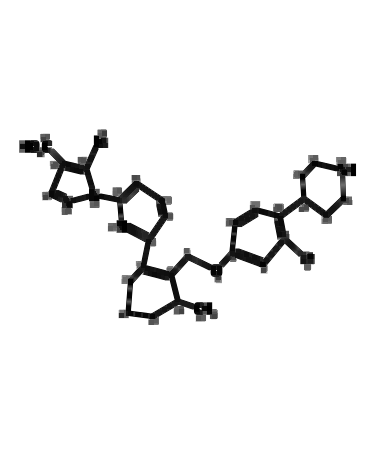 CCc1cc(OCC2=C(c3cccc(-n4ncc(C(=O)O)c4CC)n3)CCCC2C)ccc1C1CCNCC1